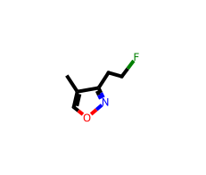 Cc1conc1CCF